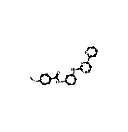 COc1ccc(C(=O)Nc2cccc(Nc3nccc(-c4ccccn4)n3)c2)cc1